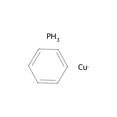 P.[Cu].c1ccccc1